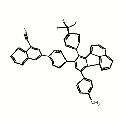 Cc1ccc(-c2cc(-c3ccc(-c4cc(C#N)c5ccccc5c4)cc3)c(-c3ccc(C(F)(F)F)cc3)c3c2-c2cccc4cccc-3c24)cc1